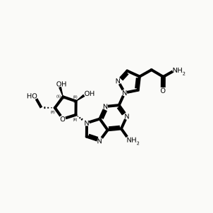 NC(=O)Cc1cnn(-c2nc(N)c3ncn([C@@H]4O[C@H](CO)[C@@H](O)[C@H]4O)c3n2)c1